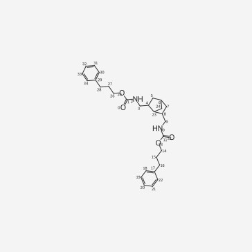 O=C(NCC1CC2CC(CNC(=O)OCCCc3ccccc3)C1C2)OCCCc1ccccc1